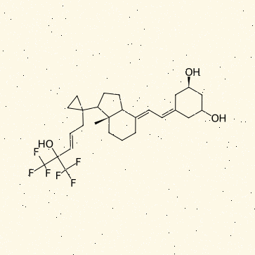 C[C@]12CCC/C(=C\C=C3\CC(O)C[C@H](O)C3)C1CCC2C1(C/C=C/C(O)(C(F)(F)F)C(F)(F)F)CC1